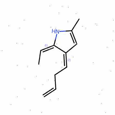 C=CC/C=c1/cc(C)[nH]/c1=C/C